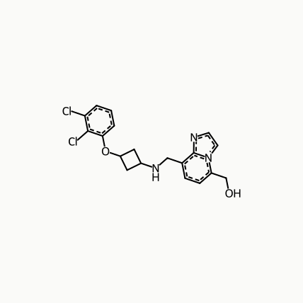 OCc1ccc(CNC2CC(Oc3cccc(Cl)c3Cl)C2)c2nccn12